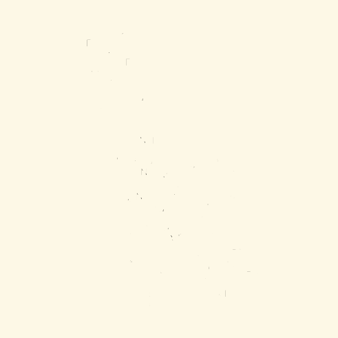 O=C(Nc1ccc(OC(F)(F)F)cc1)N1CC(c2ccccc2)(c2ccc(OC(F)(F)F)cc2)C(c2ccc(Cl)cc2)=N1